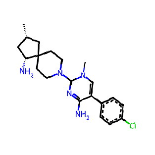 C[C@H]1C[C@@H](N)C2(CCN(C3N=C(N)C(c4ccc(Cl)cc4)=CN3C)CC2)C1